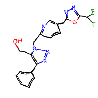 OCc1c(-c2ccccc2)nnn1Cc1ccc(-c2nnc(C(F)F)o2)cn1